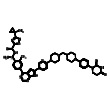 Cc1cc(-c2ncnc3[nH]c(-c4ccc(N5CCN(CC6CCN(c7ccc(N8CCC(=O)NC8=O)cc7)CC6)CC5)nc4)cc23)ccc1[C@@H](C)NC(=O)c1nc(C2(C)CC2)no1